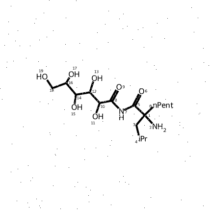 CCCCCC(N)(CC(C)C)C(=O)NC(=O)C(O)C(O)C(O)C(O)CO